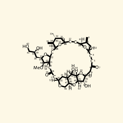 C=C1C[C@@H]2CCC(=O)C[C@@H]3O[C@H]4[C@@H](O)[C@H]5C[C@@H](CC(=O)C[C@H]6C(C[C@H]7O[C@@H](CC[C@@H]1O2)C[C@@H](C)C7=C)O[C@H](C[C@H](O)CO)[C@@H]6OC)OC[C@@H]5O[C@H]4[C@H]3O